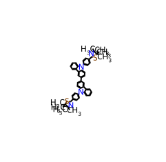 CC1(C)N=C(c2ccc(-n3c4ccccc4c4cc(-c5ccc6c(c5)c5ccccc5n6-c5ccc(C6=NC(C)(C)C(C)(C)S6)cc5)ccc43)cc2)SC1(C)C